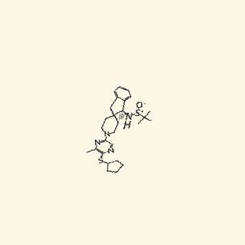 Cc1nc(N2CCC3(CC2)Cc2ccccc2[C@H]3N[S+]([O-])C(C)(C)C)cnc1SC1CCCC1